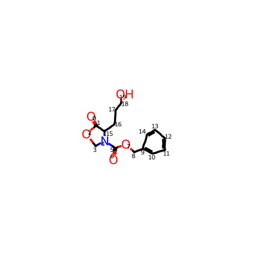 O=C1OCN(C(=O)OCc2ccccc2)C1CCCO